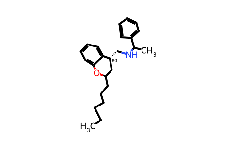 CCCCCCC1C[C@@H](CNC(C)c2ccccc2)c2ccccc2O1